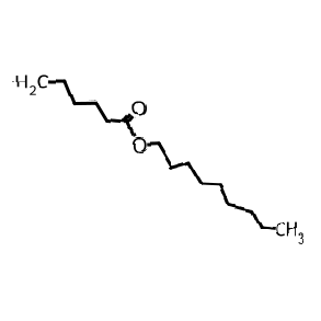 [CH2]CCCCC(=O)OCCCCCCCCC